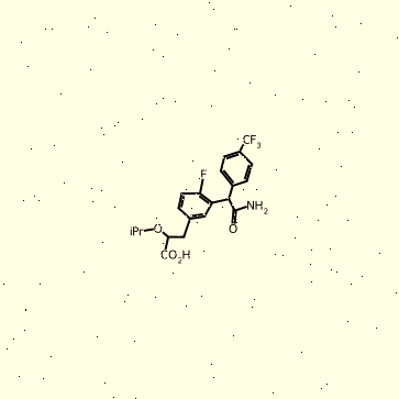 CC(C)OC(Cc1ccc(F)c(C(C(N)=O)c2ccc(C(F)(F)F)cc2)c1)C(=O)O